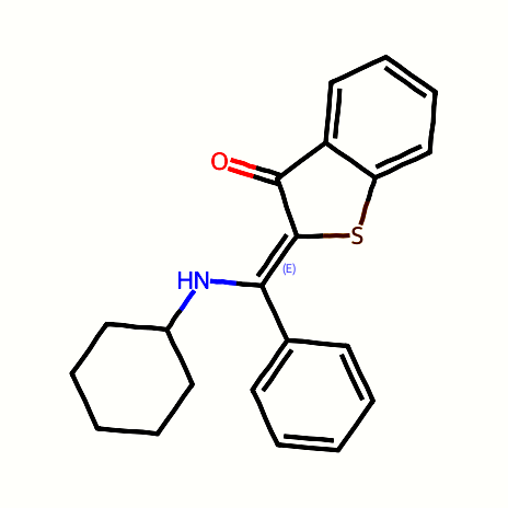 O=C1/C(=C(\NC2CCCCC2)c2ccccc2)Sc2ccccc21